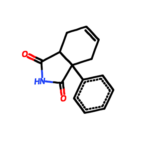 O=C1NC(=O)C2(c3ccccc3)CC=CCC12